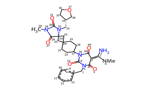 CN/C(N)=C1\C(=O)N(Cc2ccccc2)C(=O)N(C2CCC3(CC2)CC2(C3)C(=O)N(C)C(=O)N2C[C@@H]2CCOC2)C1=O